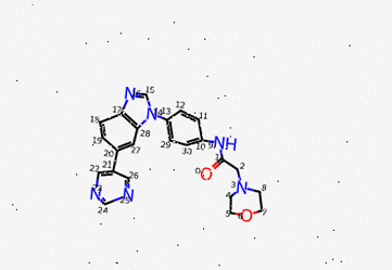 O=C(CN1CCOCC1)Nc1ccc(-n2cnc3ccc(-c4cncnc4)cc32)cc1